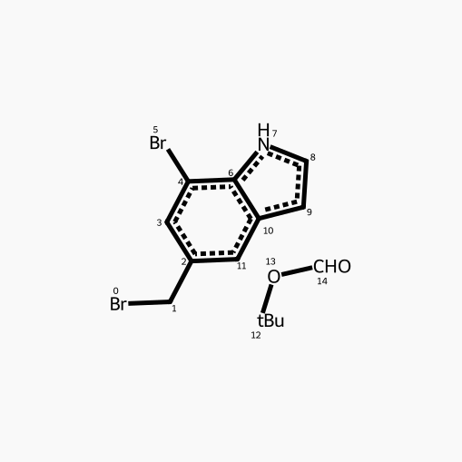 BrCc1cc(Br)c2[nH]ccc2c1.CC(C)(C)OC=O